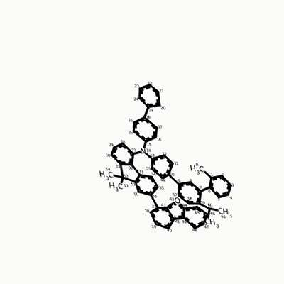 Cc1ccccc1-c1cc(-c2ccc(N(c3ccc(-c4ccccc4)cc3)c3cccc4c3-c3ccc(-c5cccc6c5oc5ccccc56)cc3C4(C)C)cc2)ccc1C(C)C